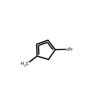 CCCC1=C=C=C(C)C1